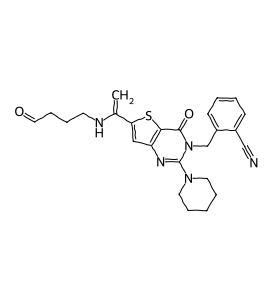 C=C(NCCCC=O)c1cc2nc(N3CCCCC3)n(Cc3ccccc3C#N)c(=O)c2s1